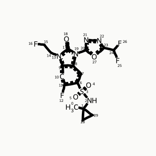 CC1(NS(=O)(=O)c2cc3c(cc2F)n(CCF)c(=O)n3-c2nnc(C(F)F)o2)CC1